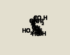 N[C@H](CC(=O)O)C(=O)N1CC(Oc2ccc3c(c2C(=O)O)O[B-](O)(O)CC3)C1